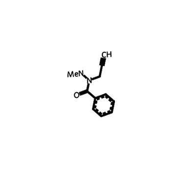 C#CCN(NC)C(=O)c1ccccc1